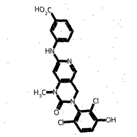 CN1C(=O)N(c2c(Cl)ccc(O)c2Cl)Cc2cnc(Nc3cccc(C(=O)O)c3)cc21